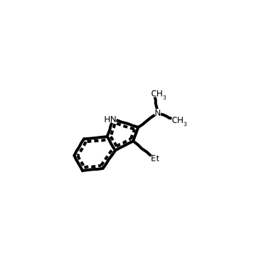 CCc1c(N(C)C)[nH]c2ccccc12